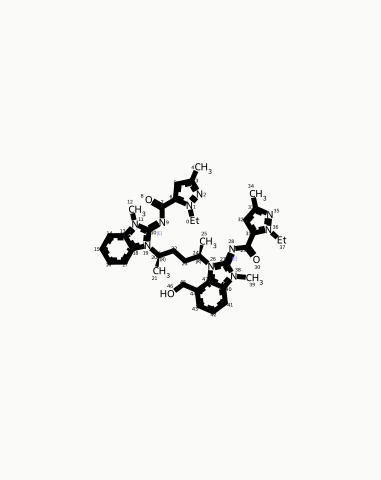 CCn1nc(C)cc1C(=O)/N=c1\n(C)c2ccccc2n1[C@H](C)CC[C@@H](C)n1/c(=N/C(=O)c2cc(C)nn2CC)n(C)c2cccc(CO)c21